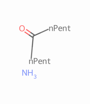 CCCCCC(=O)CCCCC.N